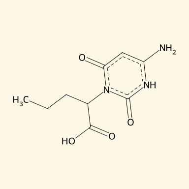 CCCC(C(=O)O)n1c(=O)cc(N)[nH]c1=O